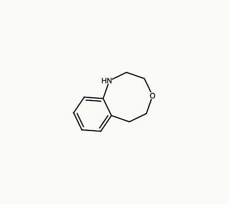 c1ccc2c(c1)CCOCCN2